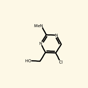 CNc1ncc(Cl)c(CO)n1